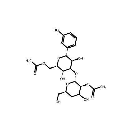 CC(=O)OC[C@H]1O[C@H](c2cccc(O)c2)[C@@H](O)[C@@H](O[C@H]2O[C@H](CO)C[C@H](O)[C@@H]2OC(C)=O)[C@@H]1O